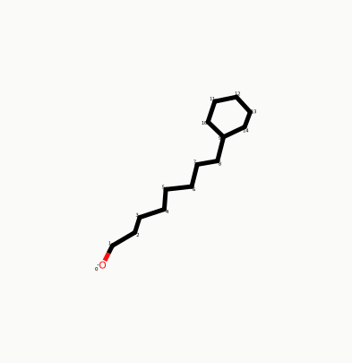 [O]CCCCCCCCC1CCCCC1